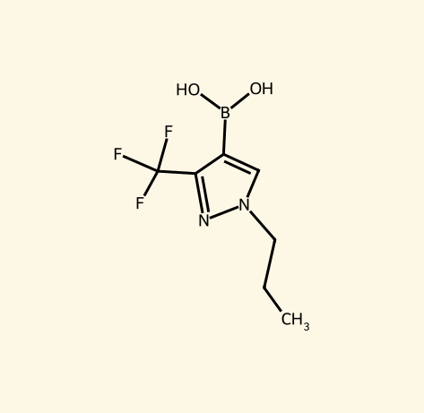 CCCn1cc(B(O)O)c(C(F)(F)F)n1